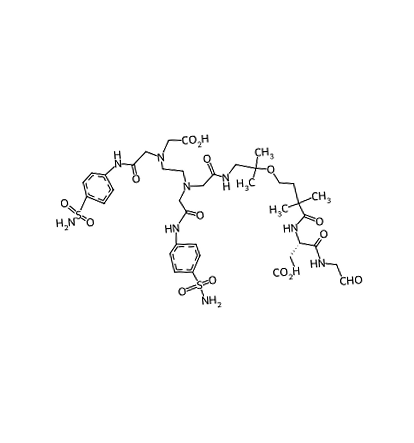 CC(C)(CNC(=O)CN(CCN(CC(=O)O)CC(=O)Nc1ccc(S(N)(=O)=O)cc1)CC(=O)Nc1ccc(S(N)(=O)=O)cc1)OCCC(C)(C)C(=O)N[C@@H](CC(=O)O)C(=O)NCC=O